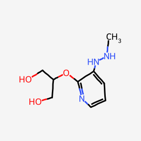 CNNc1cccnc1OC(CO)CO